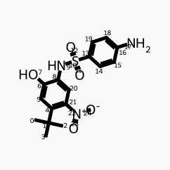 CC(C)(C)c1cc(O)c(NS(=O)(=O)c2ccc(N)cc2)cc1[N+](=O)[O-]